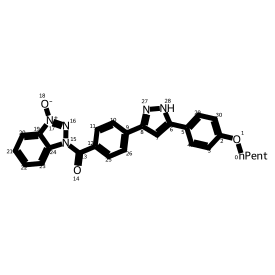 CCCCCOc1ccc(-c2cc(-c3ccc(C(=O)n4n[n+]([O-])c5ccccc54)cc3)n[nH]2)cc1